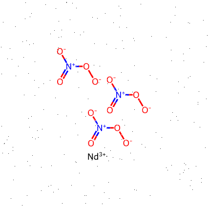 O=[N+]([O-])O[O-].O=[N+]([O-])O[O-].O=[N+]([O-])O[O-].[Nd+3]